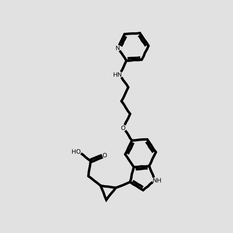 O=C(O)CC1CC1c1c[nH]c2ccc(OCCCNc3ccccn3)cc12